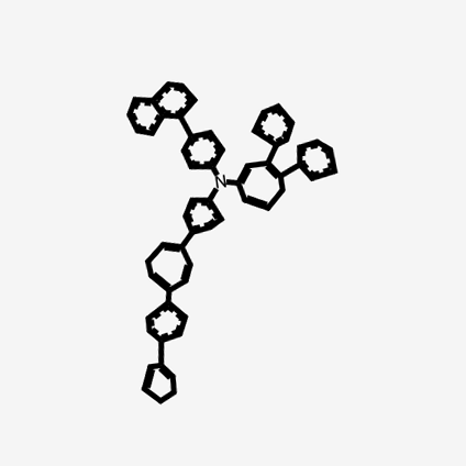 C1=CC(c2ccc(C3=CCC=C(c4ccc(N(C5=CC(c6ccccc6)=C(c6ccccc6)CC=C5)c5ccc(-c6cccc7ccccc67)cc5)cc4)C=C3)cc2)=CCC1